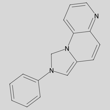 C1=Cc2ncccc2N2CN(c3ccccc3)C=C12